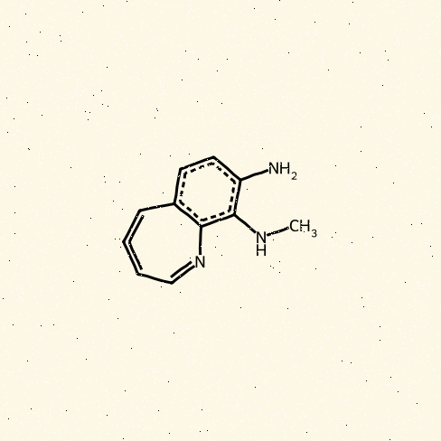 CNc1c(N)ccc2c1N=CC=C=C2